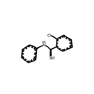 N=C(Nc1ccccc1)c1ccccc1Cl